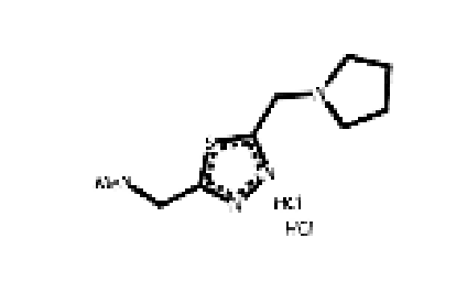 CNCc1nnc(CN2CCCC2)s1.Cl.Cl